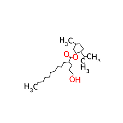 CCCCCCCCCCC(CCCO)C(=O)OC1CC(C)CCC1C(C)C